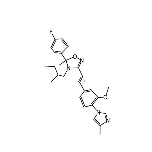 CCC(C)CN1C(/C=C/c2ccc(-n3cnc(C)c3)c(OC)c2)=NOC1(C)c1ccc(F)cc1